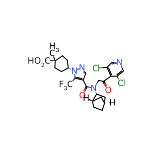 C[C@]1(C(=O)O)CC[C@H](n2ncc(C(=O)N(CC(=O)c3c(Cl)cncc3Cl)[C@@H]3C[C@H]4CC[C@H]3C4)c2C(F)(F)F)CC1